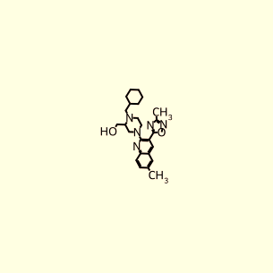 Cc1ccc2nc(N3CCN(CC4CCCCC4)C(CO)C3)c(-c3nc(C)no3)cc2c1